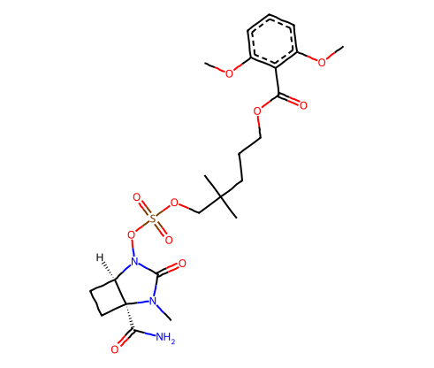 COc1cccc(OC)c1C(=O)OCCCC(C)(C)COS(=O)(=O)ON1C(=O)N(C)[C@@]2(C(N)=O)CC[C@@H]12